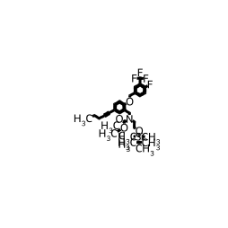 CCCC#Cc1ccc(OCc2ccc(F)c(C(F)(F)F)c2)c(CN(CCO[Si](C)(C)C(C)(C)C)C(=O)OC(C)(C)C)c1